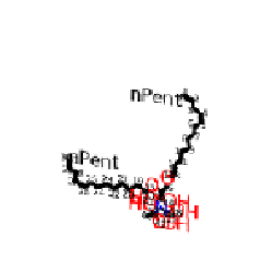 CCCCC/C=C\C/C=C\CCCCCCCCOCC(OCCCCCCCC/C=C\C/C=C\CCCCC)C(O)(O)N(C(O)O)C(C)(O)O